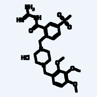 COc1ccc(CN2CCN(Cc3ccc(S(C)(=O)=O)cc3C(=O)NC(=N)N)CC2)c(OC)c1OC.Cl